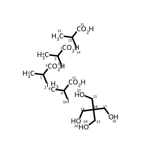 CC(I)C(=O)O.CC(I)C(=O)O.CC(I)C(=O)O.CC(I)C(=O)O.OCC(CO)(CO)CO